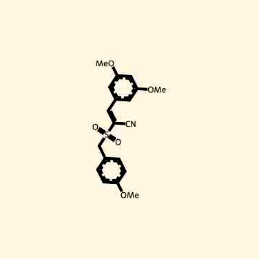 COc1ccc(CS(=O)(=O)/C(C#N)=C/c2cc(OC)cc(OC)c2)cc1